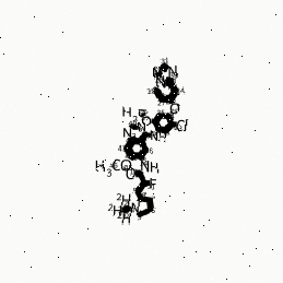 [2H]C([2H])([2H])N1CCCC1C=C(F)C(=O)Nc1cc2c(Nc3cc(Cl)c(Oc4ccn5ncnc5c4)cc3OC)ncnc2cc1OC